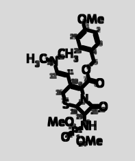 COc1ccc(COC(=O)C2=C(C=CN(C)C)CSC3C(NP(=O)(OC)OC)C(=O)N23)cc1